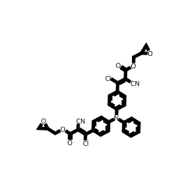 N#C/C(C(=O)OCC1CO1)=C(/Cl)c1ccc(N(c2ccccc2)c2ccc(/C(Cl)=C(\C#N)C(=O)OCC3CO3)cc2)cc1